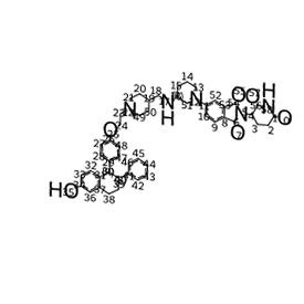 O=C1CCC(N2C(=O)c3ccc(N4CCC[C@@H](NCC5CCN(CCOc6ccc([C@@H]7c8ccc(O)cc8CC[C@@H]7c7ccccc7)cc6)CC5)C4)cc3C2=O)C(=O)N1